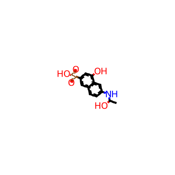 CC(O)Nc1ccc2cc(S(=O)(=O)O)cc(O)c2c1